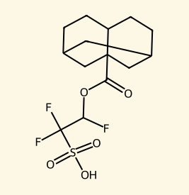 O=C(OC(F)C(F)(F)S(=O)(=O)O)C12CC3CCC1CCC(C3)C2